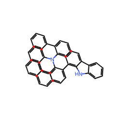 c1ccc(-c2ccccc2N(c2ccccc2-c2ccccc2)c2c(-c3ccccc3)cccc2-c2cccc3c2[nH]c2ccccc23)cc1